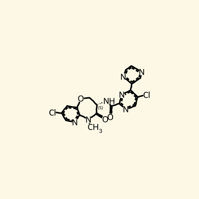 CN1C(=O)[C@@H](NC(=O)c2ncc(Cl)c(-c3cnccn3)n2)COc2cc(Cl)cnc21